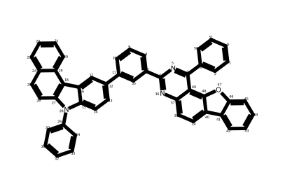 c1ccc(-c2nc(-c3cccc(-c4ccc5c(c4)c4c6ccccc6ccc4n5-c4ccccc4)c3)nc3ccc4c5ccccc5oc4c23)cc1